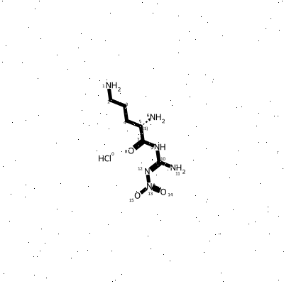 Cl.NCCC[C@H](N)C(=O)NC(N)=N[N+](=O)[O-]